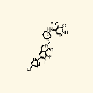 O=c1[nH]ncc(N[C@H]2CCC[C@@H](Cn3ccc4cc(-c5ncc(Cl)cn5)c(F)c(F)c4c3=O)C2)c1C(F)(F)F